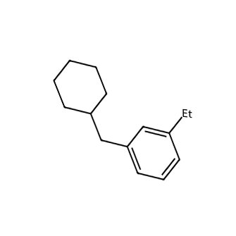 CCc1cccc(CC2CCCCC2)c1